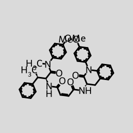 COc1ccc(N(C)C(=O)[C@@H](NC(=O)/C=C\C(=O)N[C@H]2Cc3ccccc3N(c3ccc(OC)cc3)C2=O)[C@H](C)c2ccccc2)cc1